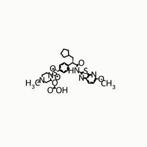 COc1ccc2nc(NC(=O)[C@H](CC3CCCC3)c3ccc(S(=O)(=O)N4CCN(C)CC4OC(=O)O)cc3)sc2n1